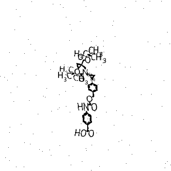 CC(C)(C)OC(=O)N(CC1(C(=O)OC(C)(C)C)CC1)[C@H]1C[C@@H]1c1ccc(COC(=O)Nc2ccc(C(=O)O)cc2)cc1